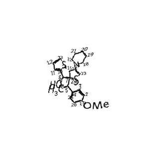 COc1ccc(C(C)C2(C(O)c3cccs3)CC(N3CCCCC3)=CS2)cc1